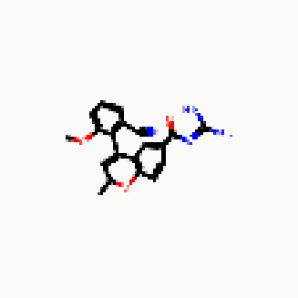 COc1cccc(C#N)c1C1=CC(C)Oc2ccc(C(=O)N=C(N)N)cc21